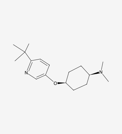 CN(C)[C@H]1CC[C@@H](Oc2ccc(C(C)(C)C)nc2)CC1